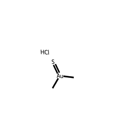 Cl.[CH3][Au]([CH3])=[S]